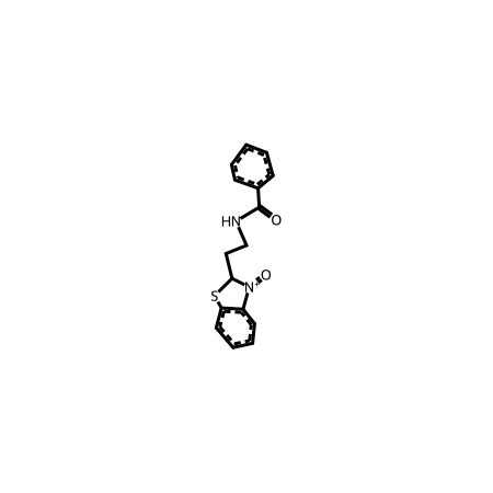 O=C(NCCC1Sc2ccccc2[N+]1=O)c1ccccc1